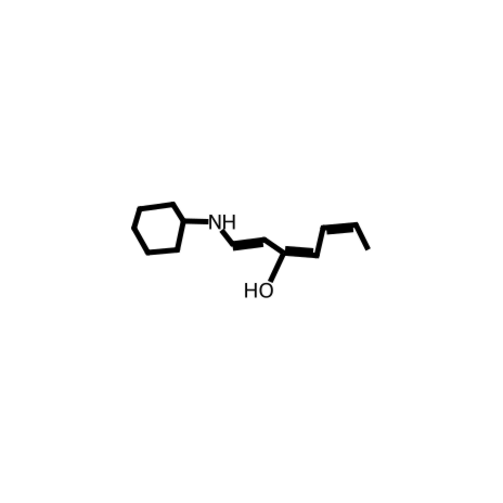 C\C=C/C=C(O)\C=C\NC1CCCCC1